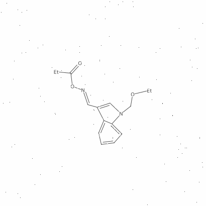 CCOCn1cc(/C=N/OC(=O)CC)c2ccccc21